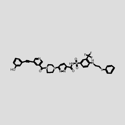 O=C(NS(=O)(=O)c1ccc(NCCSc2ccccc2)c(C(F)(F)F)c1)c1ccc(N2CCN(C(=O)c3cncc(C#Cc4cccc(O)c4)c3)CC2)nn1